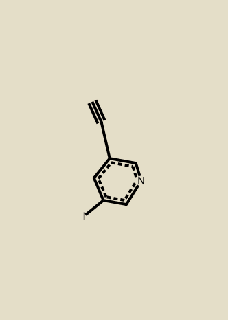 C#Cc1cncc(I)c1